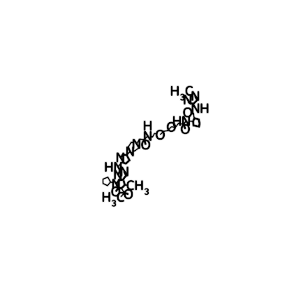 CC(=O)c1c(C)c2cnc(Nc3ccc(N4CCN(CC(=O)NCCOCCOCCC(=O)Nc5ccccc5C(=O)Nc5cnc(C)nc5)CC4)cn3)nc2n(C2CCCC2)c1=O